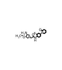 CCO[C@H]1CN(CC(=O)Nc2ccc(-n3ccccc3=O)cc2F)C[C@@H]1N